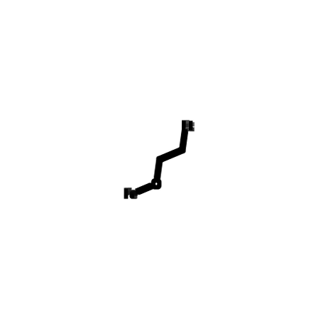 CCCC[O][Fe]